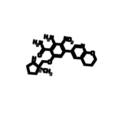 C[C@]1(COc2cc(-c3cnc4c(c3)CCCO4)c([N+](=O)[O-])c(N)c2C(N)=O)CCCN1